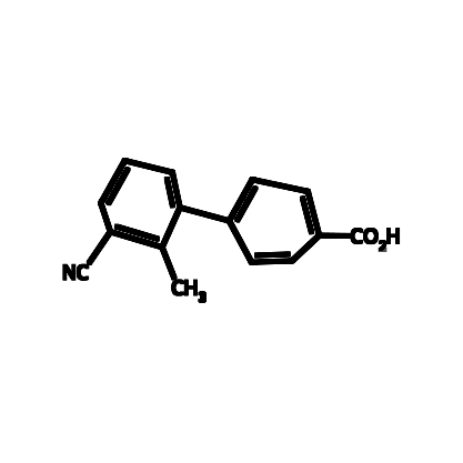 Cc1c(C#N)cccc1-c1ccc(C(=O)O)cc1